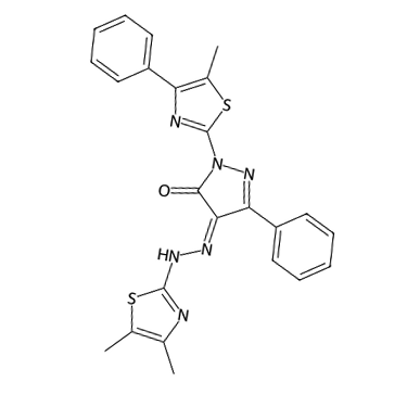 Cc1nc(NN=C2C(=O)N(c3nc(-c4ccccc4)c(C)s3)N=C2c2ccccc2)sc1C